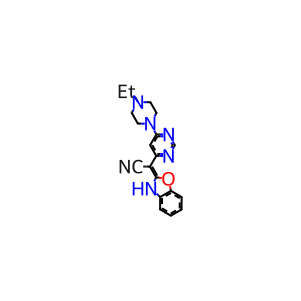 CCN1CCN(c2cc(/C(C#N)=C3/Nc4ccccc4O3)ncn2)CC1